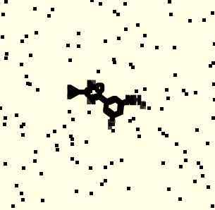 Nc1cc(F)cc(-c2nc(C3CC3)no2)c1